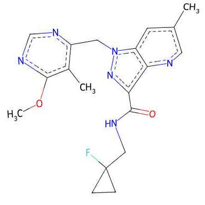 COc1ncnc(Cn2nc(C(=O)NCC3(F)CC3)c3ncc(C)cc32)c1C